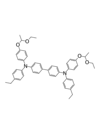 CCOC(C)Oc1ccc(N(c2ccc(CC)cc2)c2ccc(-c3ccc(N(c4ccc(CC)cc4)c4ccc(OC(C)OCC)cc4)cc3)cc2)cc1